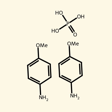 COc1ccc(N)cc1.COc1ccc(N)cc1.O=P(O)(O)O